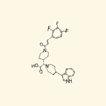 O=C(O)C(C1CCN(C(=O)C=Cc2ccc(F)c(F)c2F)CC1)N1CCC(c2c[nH]c3ccccc23)CC1